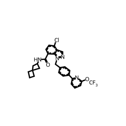 O=C(NC1CC2(CCC2)C1)c1ccc(Cl)c2cnn(Cc3ccc(-c4cccc(OC(F)(F)F)n4)cc3)c12